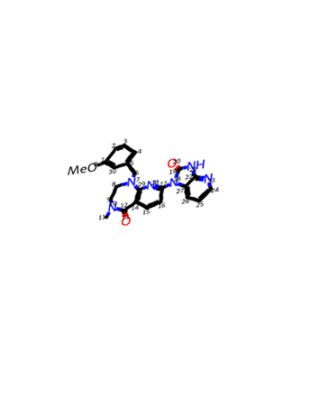 COc1cccc(CN2CCN(C)C(=O)c3ccc(-n4c(=O)[nH]c5ncccc54)nc32)c1